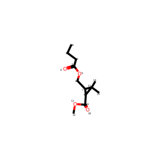 CCCC(=O)OCC1C(C(=O)OC)C1(C)C